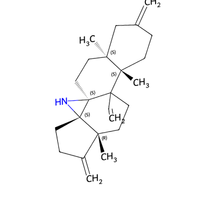 C=CC12CC[C@]3(C)C(=C)CC[C@]34N[C@@]14CC[C@@]1(C)CC(=C)CC[C@]21C